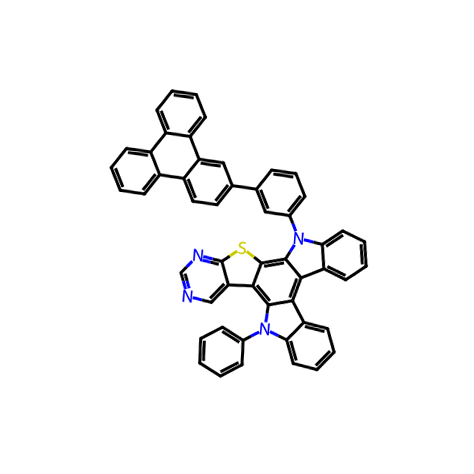 c1ccc(-n2c3ccccc3c3c4c5ccccc5n(-c5cccc(-c6ccc7c8ccccc8c8ccccc8c7c6)c5)c4c4sc5ncncc5c4c32)cc1